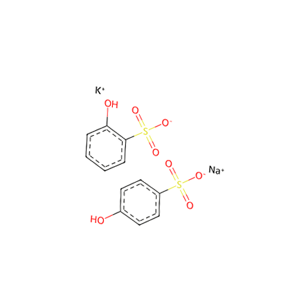 O=S(=O)([O-])c1ccc(O)cc1.O=S(=O)([O-])c1ccccc1O.[K+].[Na+]